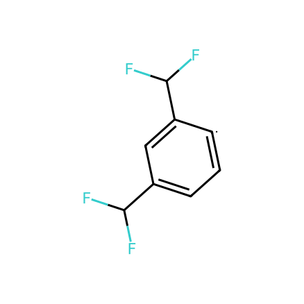 FC(F)c1[c]ccc(C(F)F)c1